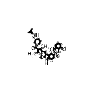 Cc1[nH]c(/C=C2\C(=O)Nc3ccc(S(=O)(=O)Cc4c(Cl)cccc4Cl)cc32)c(C)c1C(=O)N1CCC[C@@H](CNC2CC2)C1